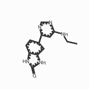 CCNc1cc(-c2ccc3[nH]c(=O)[nH]c3c2)ncn1